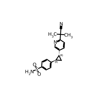 CC(C)(C#N)c1ccc([C@@H]2C[C@H]2c2ccc(S(N)(=O)=O)cc2)cn1